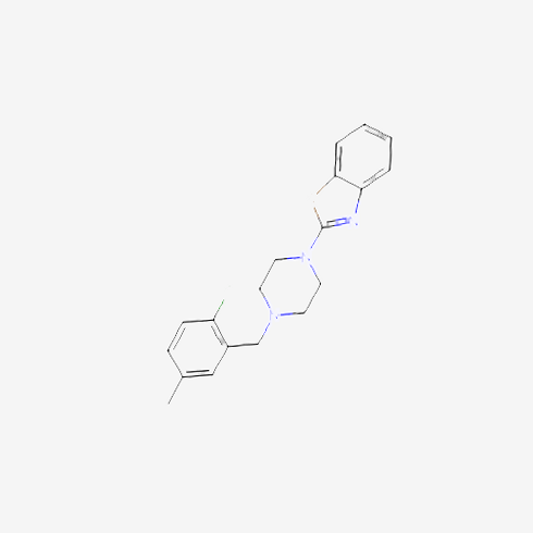 Cc1[c]cc(Cl)c(CN2CCN(c3nc4ccccc4s3)CC2)c1